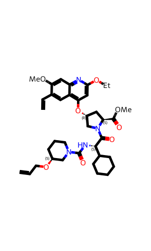 C=CCO[C@H]1CCCN(C(=O)N[C@H](C(=O)N2C[C@H](Oc3cc(OCC)nc4cc(OC)c(C=C)cc34)C[C@H]2C(=O)OC)C2CCCCC2)C1